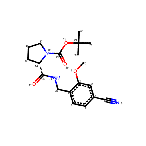 COc1cc(C#N)ccc1CNC(=O)[C@@H]1CCCN1C(=O)OC(C)(C)C